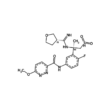 COc1ccc(C(=O)Nc2ccc(F)c([C@](C)(C[SH](=O)=O)NC(=N)[C@@H]3CCOC3)c2)nn1